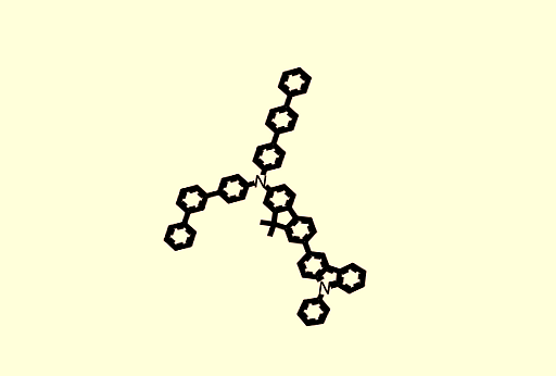 CC1(C)c2cc(-c3ccc4c(c3)c3ccccc3n4-c3ccccc3)ccc2-c2ccc(N(c3ccc(-c4ccc(-c5ccccc5)cc4)cc3)c3ccc(-c4cccc(-c5ccccc5)c4)cc3)cc21